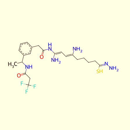 CC(NC(=O)CC(F)(F)F)c1cccc(CC(=O)N/C(N)=C/C=C(\N)CCCC/C(S)=N/N)c1